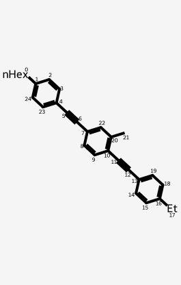 CCCCCCc1ccc(C#Cc2ccc(C#Cc3ccc(CC)cc3)c(C)c2)cc1